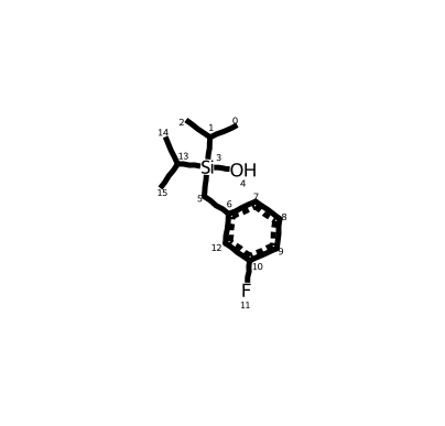 CC(C)[Si](O)(Cc1cccc(F)c1)C(C)C